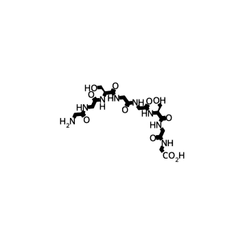 NCC(=O)NCC(=O)N[C@@H](CO)C(=O)NCC(=O)NCC(=O)N[C@@H](CO)C(=O)NCC(=O)NCC(=O)O